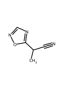 CC(C#N)c1ncno1